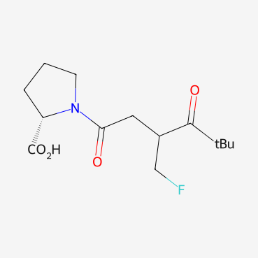 CC(C)(C)C(=O)C(CF)CC(=O)N1CCC[C@H]1C(=O)O